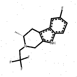 C[C@@H]1Cc2c([nH]c3ccc(F)cc23)CN1CC(F)(F)F